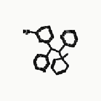 CC1(C(c2ccccn2)C(c2cccnc2)c2cccc(N)n2)C=CC=CC1